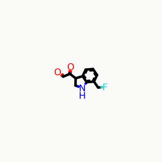 O=CC(=O)C1CNc2c(CF)cccc21